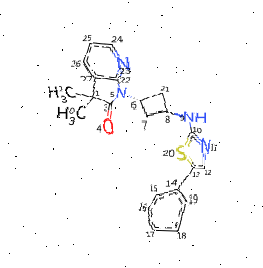 CC1(C)C(=O)N([C@H]2C[C@H](Nc3ncc(-c4ccccc4)s3)C2)c2ncccc21